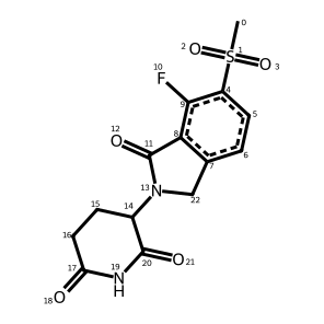 CS(=O)(=O)c1ccc2c(c1F)C(=O)N(C1CCC(=O)NC1=O)C2